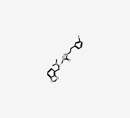 CN(C)[C@H](CNC(=O)NCCc1cccc(F)c1)Cc1cccc2c1OCO2